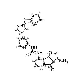 CC1COC2c3c(NC(=O)Nc4cc(C5CCN(Cc6ccccc6)C5)ccn4)cccc3C(=O)N12